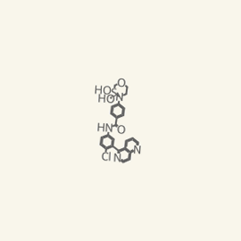 O=C(Nc1ccc(Cl)c(-c2nccc3ncccc23)c1)c1ccc(N2CCOCS2(O)O)cc1